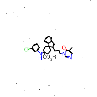 Cc1cncn(CCCC2=Cc3ccccc3C23CCC(Nc2cccc(Cl)c2)(C(=O)O)CC3)c1=O